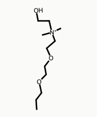 CCCOCCOCC[N+](C)(C)CCO